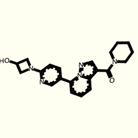 O=C(c1cnn2c(-c3ccc(N4CC(O)C4)nc3)cccc12)N1CCCCC1